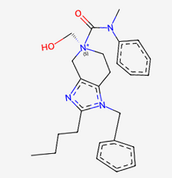 CCCCc1nc2c(n1Cc1ccccc1)CC[N@+](CO)(C(=O)N(C)c1ccccc1)C2